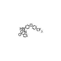 O=c1oc(Nc2ccc(Oc3ccc(C(F)(F)F)cc3)cc2)nc2sccc12